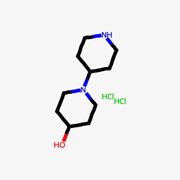 Cl.Cl.OC1CCN(C2CCNCC2)CC1